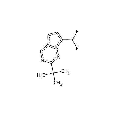 CC(C)(C)c1ncc2ccc(C(F)F)n2n1